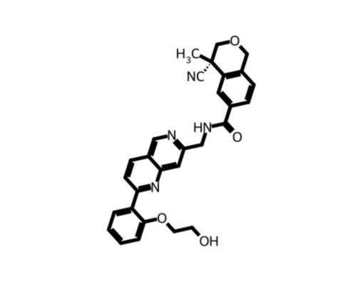 C[C@@]1(C#N)COCc2ccc(C(=O)NCc3cc4nc(-c5ccccc5OCCO)ccc4cn3)cc21